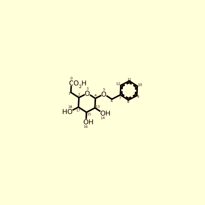 O=C(O)CC1OC(OCc2ccccc2)C(O)C(O)C1O